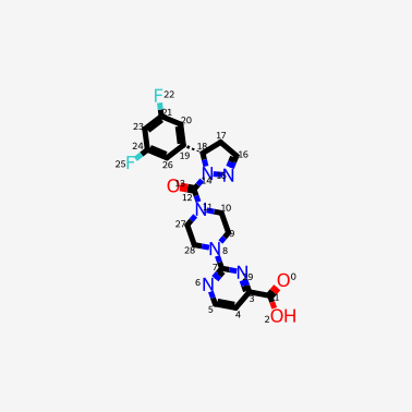 O=C(O)c1ccnc(N2CCN(C(=O)N3N=CC[C@H]3c3cc(F)cc(F)c3)CC2)n1